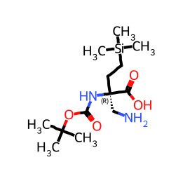 CC(C)(C)OC(=O)N[C@@](CN)(CC[Si](C)(C)C)C(=O)O